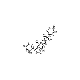 O=C1N2[C@@H](CC[C@H]2c2ccccc2F)OC12CN(S(=O)(=O)c1ccc(F)cc1)C2